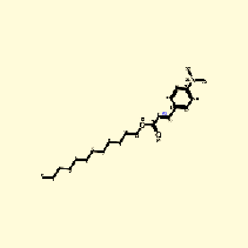 CCCCCCCCCCCCOC(=O)/C=C/c1ccc(N(C)C)cc1